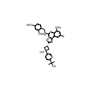 COc1ccc(CNc2nc3c(OC)cc(F)cc3c3nc([C@H]4C[C@](O)(c5ccc(C(C)(C)O)nc5)C4)nn23)c(OC)c1